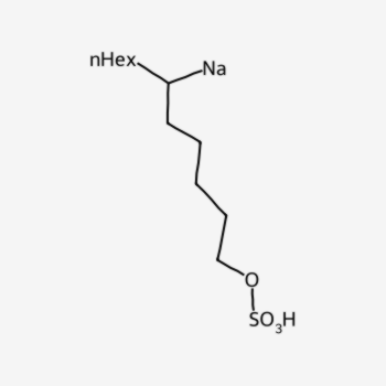 CCCCCC[CH]([Na])CCCCCOS(=O)(=O)O